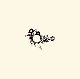 COc1nc(N2CCOCC2)ncc1C(=O)N[S@@]1(=O)=NC(=O)c2ccc3c(c2)N(C[C@@H]2CC[C@H]2[C@@H](OC)/C=C/C[C@H](C)C1)C[C@@]1(CCCc2cc(Cl)ccc21)CO3